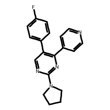 Fc1ccc(-c2cnc(N3CCCC3)nc2-c2ccncc2)cc1